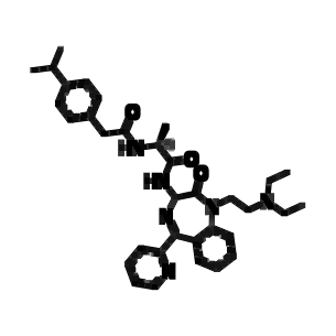 CCN(CC)CCN1C(=O)C(NC(=O)[C@H](C)NC(=O)Cc2ccc(C(C)C)cc2)N=C(c2ccccn2)c2ccccc21